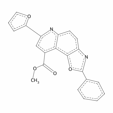 COC(=O)c1cc(-c2ccco2)nc2ccc3nc(-c4ccccc4)oc3c12